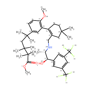 COC(=O)C(C)(C)C(C)(C)CC(C)(C)c1ccc(OC)c(C2=C(CN[C@@H](C)[C@H](O)c3cc(C(F)(F)F)cc(C(F)(F)F)c3)CC(C)(C)CC2)c1